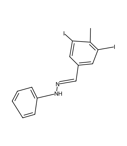 Cc1c(I)cc(/C=N/Nc2ccccc2)cc1I